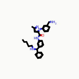 CCCCCNC(c1ccccc1)c1cccc(NC(=O)c2cc(C)nn2-c2cccc(CN)c2)c1